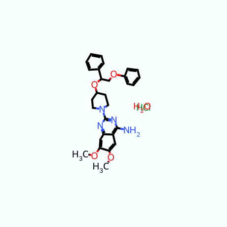 COc1cc2nc(N3CCC(OC(COc4ccccc4)c4ccccc4)CC3)nc(N)c2cc1OC.Cl.O